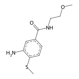 COCCNC(=O)c1ccc(SC)c(N)c1